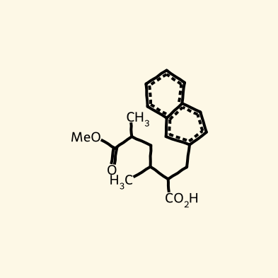 COC(=O)C(C)CC(C)C(Cc1ccc2ccccc2c1)C(=O)O